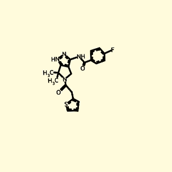 CC1(C)c2[nH]nc(NC(=O)c3ccc(F)cc3)c2CN1C(=O)Cc1cccs1